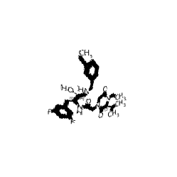 CCc1cccc(CNC[C@@H](O)[C@H](Cc2cc(F)cc(F)c2)NC(=O)CN2CC(=O)N(CC)[C@@H](C(C)C)C2=O)c1